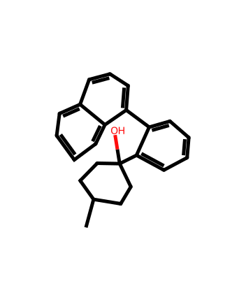 CC1CCC(O)(c2ccccc2-c2cccc3ccccc23)CC1